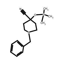 C[Si](C)(C)OC1(C#N)CCN(Cc2ccccc2)CC1